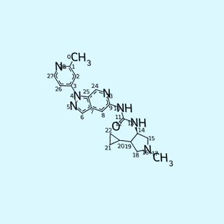 Cc1cc(-n2ncc3cc(NC(=O)N[C@H]4CN(C)CC4C4CC4)ncc32)ccn1